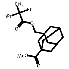 CCCC(C)(CC)C(=O)OCC12CC3CC(C1)CC(C(=O)OC)(C3)C2